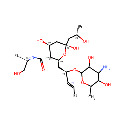 CC/C=C/[C@@H](C[C@@H]1O[C@](O)(C[C@@H](O)C(C)C)C[C@H](O)[C@H]1C(=O)N[C@@H](CC)CO)OC1OC(C)C(O)C(N)C1O